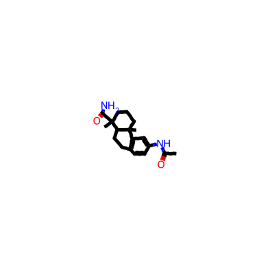 CC(=O)Nc1ccc2c(c1)C1(C)CCCC(C)(C(N)=O)C1CC2